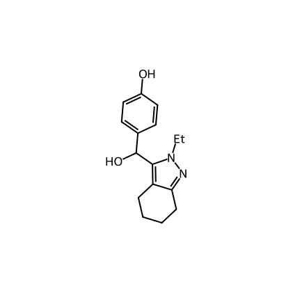 CCn1nc2c(c1C(O)c1ccc(O)cc1)CCCC2